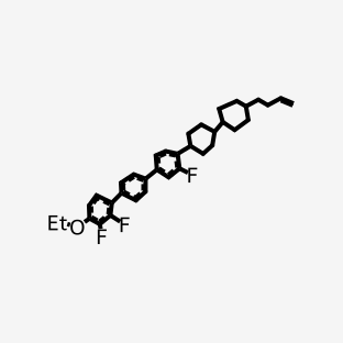 C=CCCC1CCC(C2CCC(c3ccc(-c4ccc(-c5ccc(OCC)c(F)c5F)cc4)cc3F)CC2)CC1